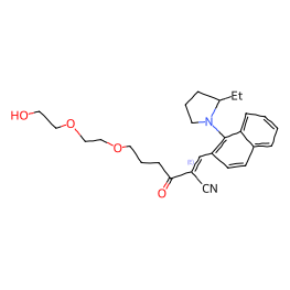 CCC1CCCN1c1c(/C=C(\C#N)C(=O)CCCOCCOCCO)ccc2ccccc12